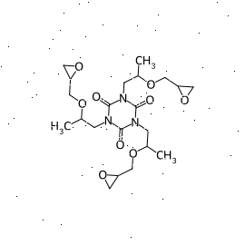 CC(Cn1c(=O)n(CC(C)OCC2CO2)c(=O)n(CC(C)OCC2CO2)c1=O)OCC1CO1